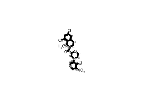 C[C@H]1c2c(Cl)cc(Cl)cc2CCN1C(=O)[C@H]1CN(c2cncc([N+](=O)[O-])c2Cl)CCO1